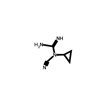 N#CN(C(=N)N)C1CC1